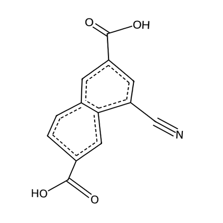 N#Cc1cc(C(=O)O)cc2ccc(C(=O)O)cc12